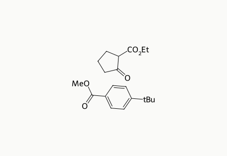 CCOC(=O)C1CCCC1=O.COC(=O)c1ccc(C(C)(C)C)cc1